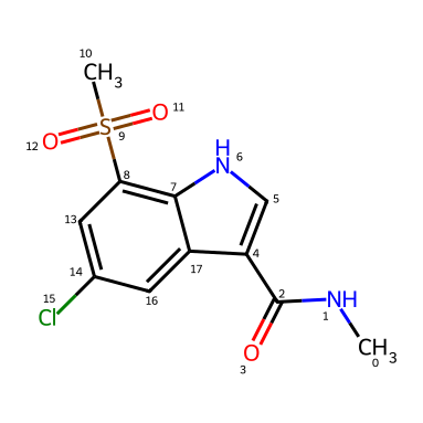 CNC(=O)c1c[nH]c2c(S(C)(=O)=O)cc(Cl)cc12